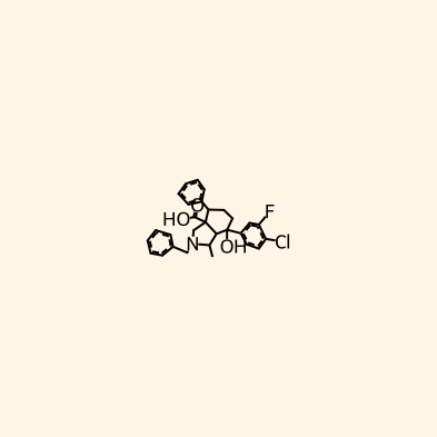 CC1C2C(O)(c3ccc(Cl)c(F)c3)CCC(c3ccccc3)C2(C(=O)O)CN1Cc1ccccc1